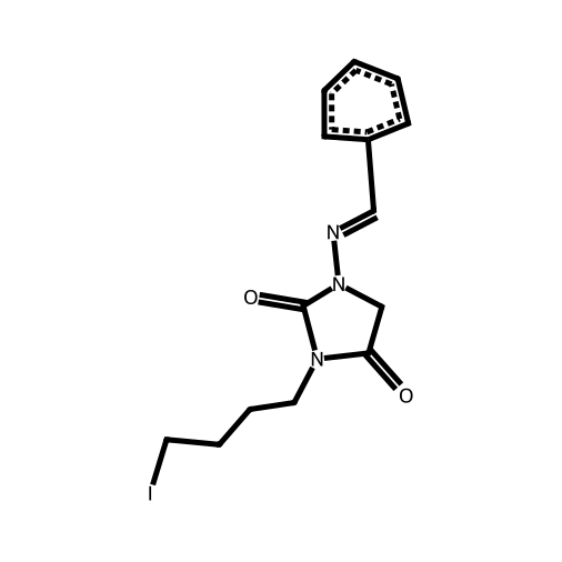 O=C1CN(N=Cc2ccccc2)C(=O)N1CCCCI